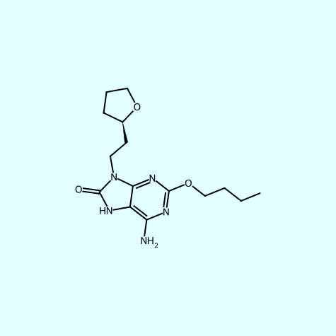 CCCCOc1nc(N)c2[nH]c(=O)n(CC[C@H]3CCCO3)c2n1